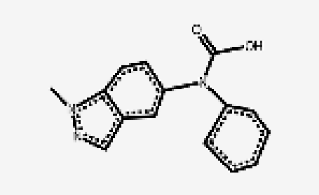 Cn1ncc2cc(N(C(=O)O)c3ccccc3)ccc21